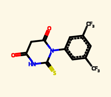 O=C1CC(=O)N(c2cc(C(F)(F)F)cc(C(F)(F)F)c2)C(=S)N1